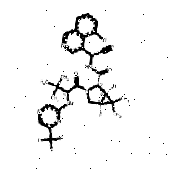 CC(C)(C)[C@H](Nc1cncc(C(F)(F)F)n1)C(=O)N1C[C@H]2[C@@H]([C@H]1C(=O)NC(C#N)c1cncc3cccc(Cl)c13)C2(C)C